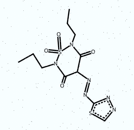 CCCN1C(=O)C(N=Nc2nncs2)C(=O)N(CCC)S1(=O)=O